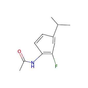 CC(=O)Nc1ccc(C(C)C)cc1F